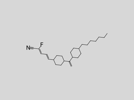 C=C(C1CCC(C=CC=C(F)C#N)CC1)C1CCC(CCCCCCC)CC1